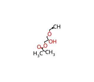 C#CCOCC(O)COC(=O)C(C)C